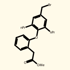 CCCc1cc(CBr)cc(CCC)c1Oc1ccccc1CC(=O)OC